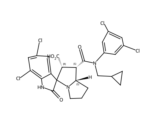 O=C(O)[C@@H]1[C@H](C(=O)N(CC2CC2)c2cc(Cl)cc(Cl)c2)[C@@H]2CCCN2C12C(=O)Nc1c(Cl)cc(Cl)cc12